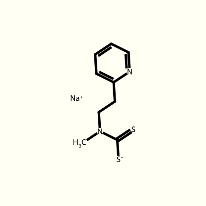 CN(CCc1ccccn1)C(=S)[S-].[Na+]